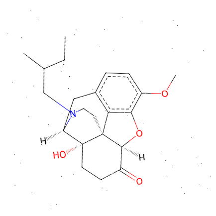 CCC(C)CN1CC[C@]23c4c5ccc(OC)c4O[C@H]2C(=O)CC[C@@]3(O)[C@H]1C5